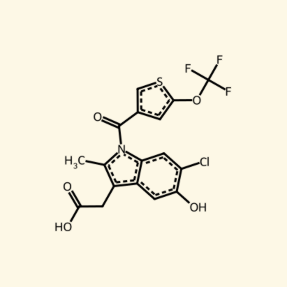 Cc1c(CC(=O)O)c2cc(O)c(Cl)cc2n1C(=O)c1csc(OC(F)(F)F)c1